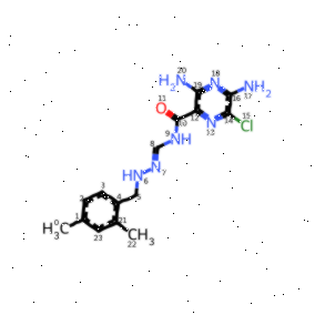 Cc1ccc(CN/N=C/NC(=O)c2nc(Cl)c(N)nc2N)c(C)c1